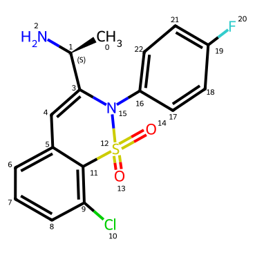 C[C@H](N)C1=Cc2cccc(Cl)c2S(=O)(=O)N1c1ccc(F)cc1